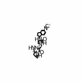 [C-]#[N+]c1ccc2c(c1)CC[C@H]2N1C(=O)[C@@H]2C[C@H]1CN2C[C@H](N)C(=O)N1[C@H](C#N)CC2C[C@@H]21